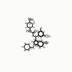 Cc1cccc(C(CC(=O)NC2CCC(N)CC2)c2cn(CC3CCCCC3)c3ccc(Br)cc23)c1.Cl